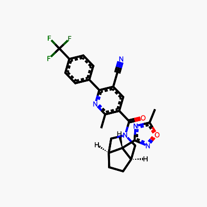 Cc1nc([C@@H]2[C@@H]3CC[C@H]2CN(C(=O)c2cc(C#N)c(-c4ccc(C(F)(F)F)cc4)nc2C)C3)no1